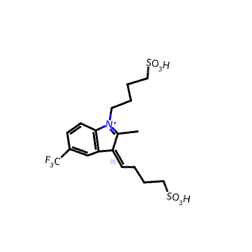 CC1=[N+](CCCCS(=O)(=O)O)c2ccc(C(F)(F)F)cc2/C1=C/CCCS(=O)(=O)O